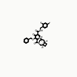 O=C(NCc1ccc(F)cc1F)c1cn2c(c(OCc3ccccc3)c1=O)C(=O)N1C[C@@H]3CC[C@@H]3C[C@H]2C1